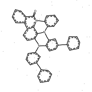 O=c1c2ccccc2c2ccc3c4c2n1-c1ccccc1N4c1cc(-c2ccccc2)ccc1N3c1cccc(-c2ccccc2)c1